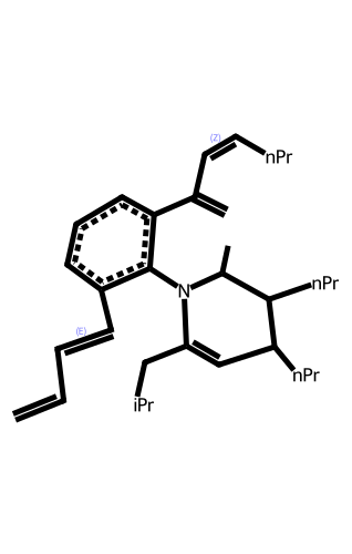 C=C/C=C/c1cccc(C(=C)/C=C\CCC)c1N1C(CC(C)C)=CC(CCC)C(CCC)C1C